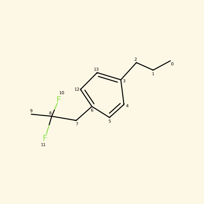 CCCc1ccc(CC(C)(F)F)cc1